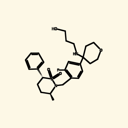 C[C@H]1CC[C@H](c2ccccc2)S(=O)(=O)N1Cc1ccc(C2(NCCCO)CCOCC2)cc1F